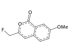 COc1ccc2cc(CF)oc(=O)c2c1